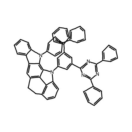 c1ccc(-c2ccc(-n3c4ccccc4c4cc5c6c7c(cccc7n(-c7cc(-c8ccccc8)cc(-c8nc(-c9ccccc9)nc(-c9ccccc9)n8)c7)c6c43)CC5)cc2)cc1